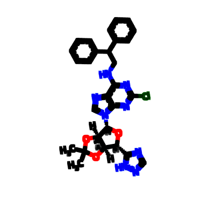 CC1(C)O[C@@H]2[C@H](O1)[C@@H](c1ncn[nH]1)O[C@H]2n1cnc2c(NCC(c3ccccc3)c3ccccc3)nc(Cl)nc21